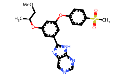 COC[C@H](C)Oc1cc(Oc2ccc(S(C)(=O)=O)cc2)cc(-c2nc3cncnc3[nH]2)c1